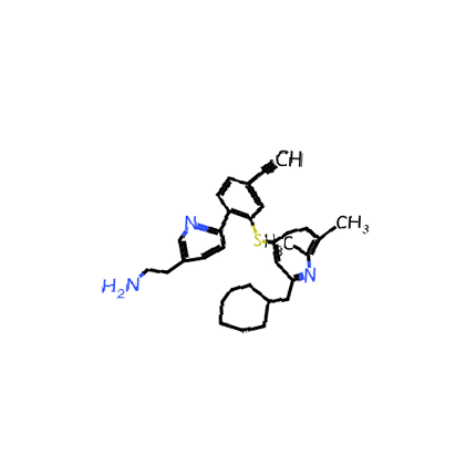 C#Cc1ccc(-c2ccc(CCN)cn2)c(S/C2=C/C(CC3CCCCCC3)=N\C(C)=C(/C)CC2)c1